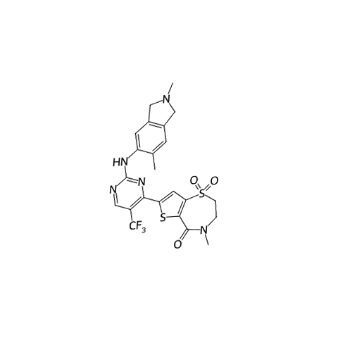 Cc1cc2c(cc1Nc1ncc(C(F)(F)F)c(-c3cc4c(s3)C(=O)N(C)CCS4(=O)=O)n1)CN(C)C2